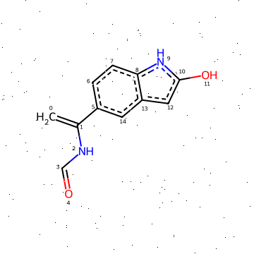 C=C(NC=O)c1ccc2[nH]c(O)cc2c1